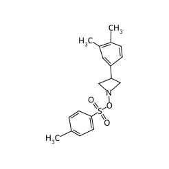 Cc1ccc(S(=O)(=O)ON2CC(c3ccc(C)c(C)c3)C2)cc1